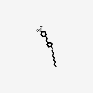 CCCCCCCCSc1ccc(C=Cc2ccc([N+](=O)[O-])cc2)cc1